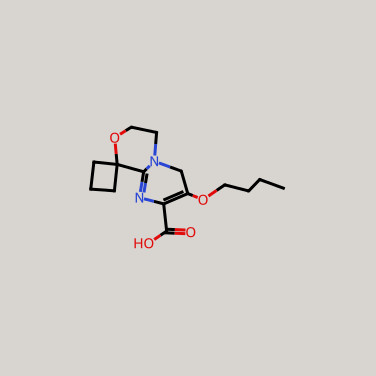 CCCCOC1=C(C(=O)O)N=C2N(CCOC23CCC3)C1